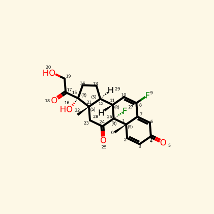 C[C@]12C=CC(=O)C=C1C(F)=C[C@H]1[C@@H]3CC[C@](O)(C(=O)CO)[C@@]3(C)CC(=O)[C@@]12F